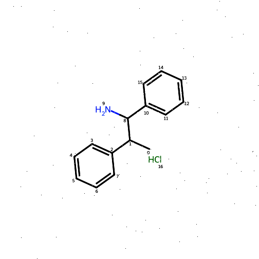 CC(c1ccccc1)C(N)c1ccccc1.Cl